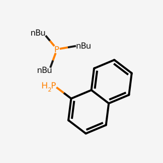 CCCCP(CCCC)CCCC.Pc1cccc2ccccc12